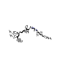 CCCCC(C)CN(C)CCCNC(=O)C/N=C\N=C\NCCNCO